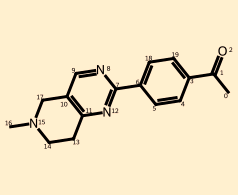 CC(=O)c1ccc(-c2ncc3c(n2)CCN(C)C3)cc1